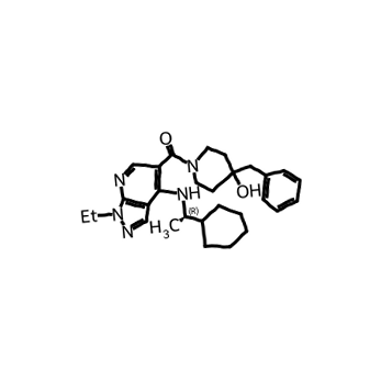 CCn1ncc2c(N[C@H](C)C3CCCCC3)c(C(=O)N3CCC(O)(Cc4ccccc4)CC3)cnc21